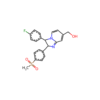 CS(=O)(=O)c1ccc(C2N=C3C=C(CO)C=CN3C2c2ccc(F)cc2)cc1